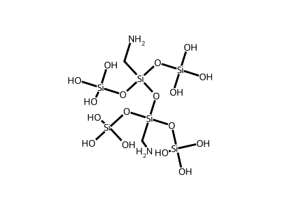 NC[Si](O[Si](O)(O)O)(O[Si](O)(O)O)O[Si](CN)(O[Si](O)(O)O)O[Si](O)(O)O